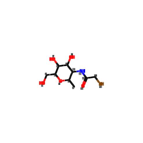 CC1OC(CO)C(O)C(O)C1NC(=O)CS